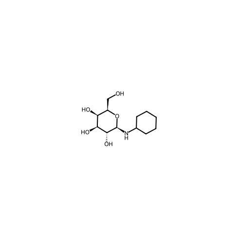 OC[C@H]1O[C@@H](NC2CCCCC2)[C@H](O)[C@@H](O)[C@H]1O